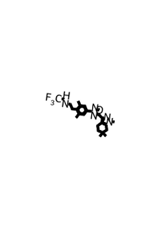 Cc1cc(-c2noc(-c3nn(C)c4c3CCC(C)(C)C4)n2)cc(C)c1CCNCC(F)(F)F